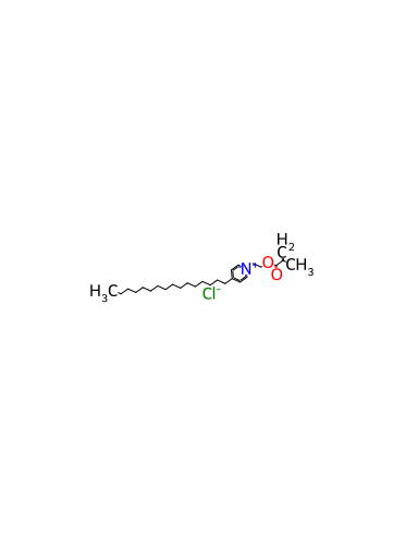 C=C(C)C(=O)OCC[n+]1ccc(CCCCCCCCCCCCCCCC)cc1.[Cl-]